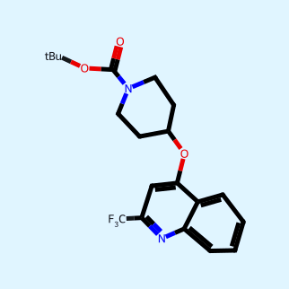 CC(C)(C)OC(=O)N1CCC(Oc2cc(C(F)(F)F)nc3ccccc23)CC1